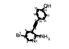 Nc1ncc(Br)cc1C#Cc1ccc(O)cc1